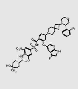 CC(C)c1ccccc1[C@H]1COCCN1C1CC2(CCN(c3ccc(C(=O)NS(=O)(=O)c4cc5c(c([N+](=O)[O-])c4)N[C@@H]([C@H]4CC[C@](C)(O)CC4)CO5)c(Oc4cnc5[nH]cc(F)c5c4)c3)CC2)C1